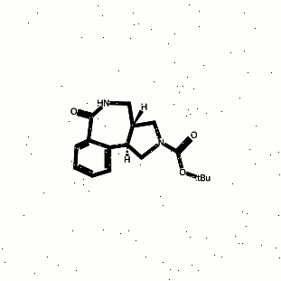 CC(C)(C)OC(=O)N1C[C@H]2CNC(=O)c3ccccc3[C@@H]2C1